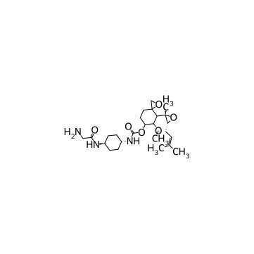 COC1C(OC(=O)N[C@H]2CC[C@H](NC(=O)CN)CC2)CCC2(CO2)C1[C@]1(C)O[C@@H]1CC=C(C)C